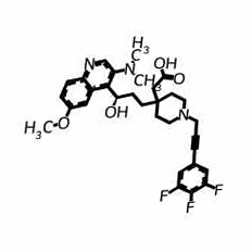 COc1ccc2ncc(N(C)C)c([C@H](O)CCC3(CC(=O)O)CCN(CC#Cc4cc(F)c(F)c(F)c4)CC3)c2c1